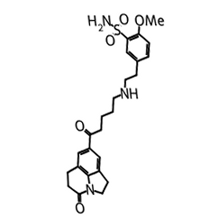 COc1ccc(CCNCCCCC(=O)c2cc3c4c(c2)CCN4C(=O)CC3)cc1S(N)(=O)=O